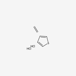 C=C.Cl.Cl.c1ccsc1